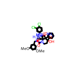 COc1cc(CN(C)C(=O)N2CCC(O)(c3ccccc3)C(C(N)=O)(C(N)=O)C2(C(N)=O)C(=O)Nc2ccc(Cl)c(Cl)c2)cc(OC)c1